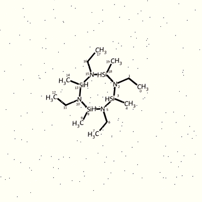 CCN1[SiH](C)N(CC)[SiH](C)N(CC)[SiH](C)N(CC)[SiH]1C